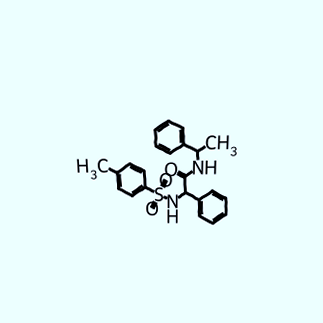 Cc1ccc(S(=O)(=O)NC(C(=O)NC(C)c2ccccc2)c2ccccc2)cc1